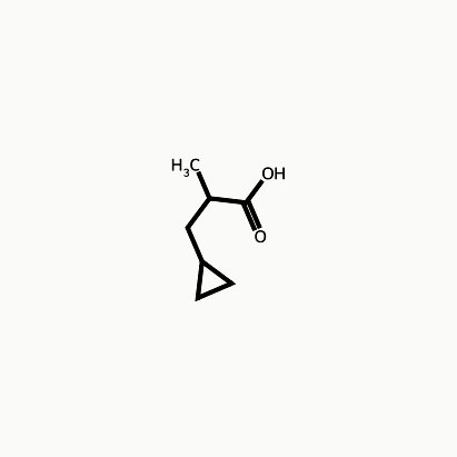 CC(CC1CC1)C(=O)O